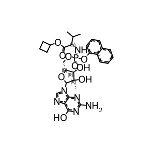 CC(C)[C@H](NP(=O)(OC[C@H]1OC(n2cnc3c(O)nc(N)nc32)[C@](C)(O)[C@@H]1O)Oc1cccc2ccccc12)C(=O)OC1CCC1